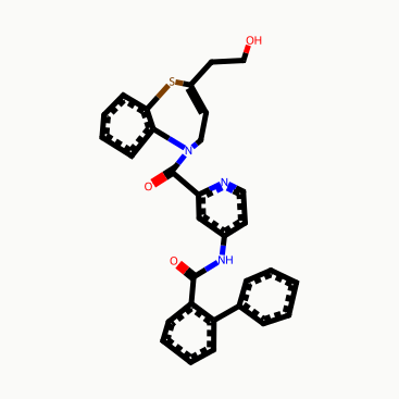 O=C(Nc1ccnc(C(=O)N2CC=C(CCO)Sc3ccccc32)c1)c1ccccc1-c1ccccc1